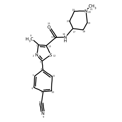 Cc1nc(-c2ccc(C#N)cc2)sc1C(=O)NC1CCN(C)CC1